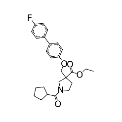 CCOC(=O)C1(COc2ccc(-c3ccc(F)cc3)cc2)CCN(C(=O)C2CCCC2)C1